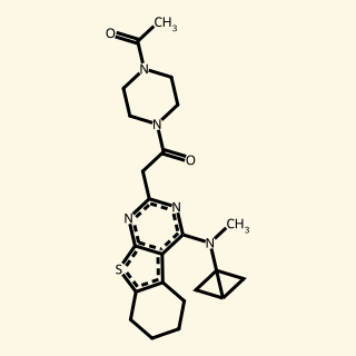 CC(=O)N1CCN(C(=O)Cc2nc(N(C)C34CC3C4)c3c4c(sc3n2)CCCC4)CC1